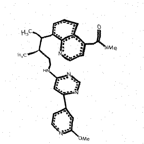 CNC(=O)c1ccnc2c(C(C)[C@H](C)CNc3cc(-c4ccnc(OC)c4)ncn3)cccc12